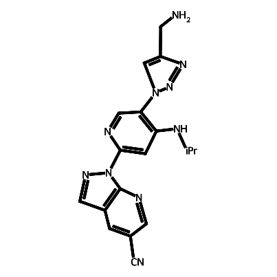 CC(C)Nc1cc(-n2ncc3cc(C#N)cnc32)ncc1-n1cc(CN)nn1